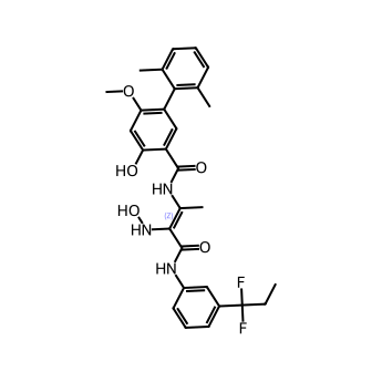 CCC(F)(F)c1cccc(NC(=O)/C(NO)=C(\C)NC(=O)c2cc(-c3c(C)cccc3C)c(OC)cc2O)c1